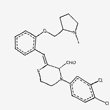 CN1CCCC1COc1ccccc1C=C1SCCN(c2ccc(Cl)c(Cl)c2)C1C=O